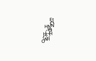 CCc1ccnc(N[C@H]2CC[C@H]3[C@@H]4CC[C@H]5N(C)C(=O)C=C[C@]5(C)[C@H]4CC[C@]23C)c1